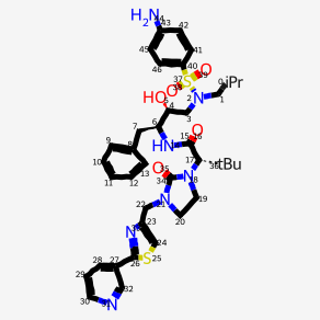 CC(C)CN(C[C@@H](O)[C@H](Cc1ccccc1)NC(=O)[C@@H](N1CCN(Cc2csc(-c3cccnc3)n2)C1=O)C(C)(C)C)S(=O)(=O)c1ccc(N)cc1